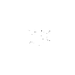 C=C1COC(CC[C@@]2(O)CC(O)C3C4C(O2)C2OC(CC=O)CCC2O[C@@H]34)C1